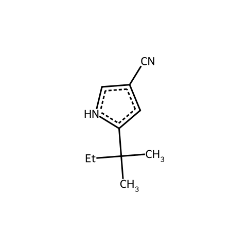 CCC(C)(C)c1cc(C#N)c[nH]1